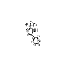 FC(F)(F)c1ncc(-c2cccnc2)[nH]1